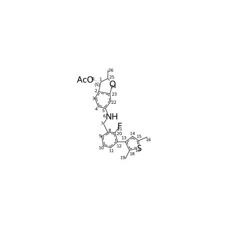 CC(=O)O[C@H]1c2ccc(NCc3cccc(-c4cc(C)sc4C)c3F)cc2OC1C